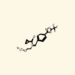 COCCN(Cc1ccc(-c2noc(C(F)(F)F)n2)cc1)C(=O)C1CC1